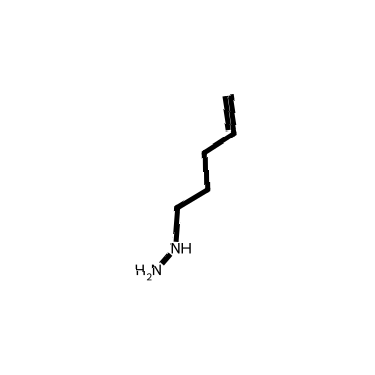 C=CCCCNN